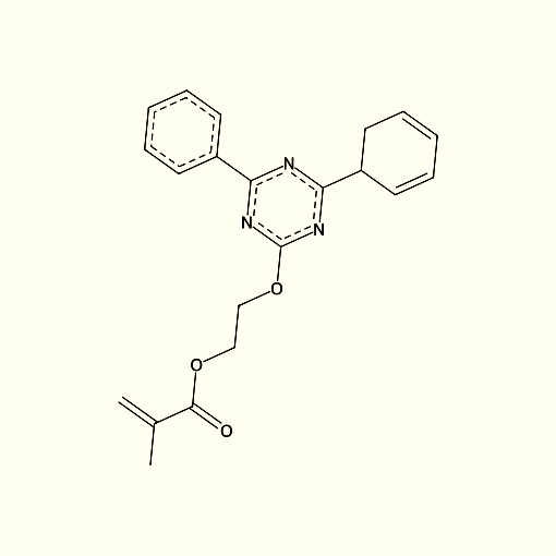 C=C(C)C(=O)OCCOc1nc(-c2ccccc2)nc(C2C=CC=CC2)n1